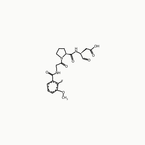 COc1cccc(C(=O)NCC(=O)N2CCC[C@H]2C(=O)N[C@H](C=O)CC(=O)O)c1F